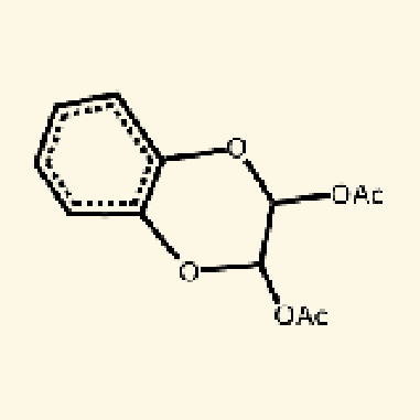 CC(=O)OC1Oc2ccccc2OC1OC(C)=O